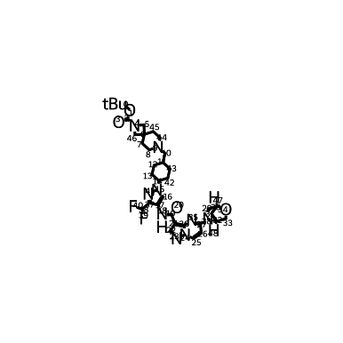 CC(C)(C)OC(=O)N1CC2(CCN(CC3CCC(n4cc(NC(=O)c5cnn6ccc(N7C[C@H]8C[C@@H]7CO8)nc56)c(C(F)F)n4)CC3)CC2)C1